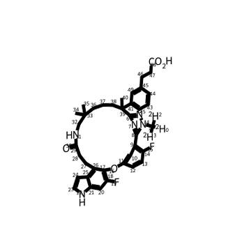 [2H]C([2H])([2H])n1nc2nc1-c1cc(ccc1F)Oc1c(F)cc3[nH]ccc3c1CCC(=O)NCC(C)(C)CCCC2(C)c1cccc(CCC(=O)O)c1